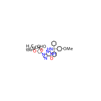 COc1ccc(C(Nc2nc3c(ncn3[C@H]3C[C@H](O[Si](C)(C)C(C)(C)C)[C@@H](C=O)O3)c(=O)[nH]2)(c2ccccc2)c2ccccc2)cc1